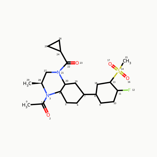 CC(=O)N1C2CCC(C3CCC(F)C(S(C)(=O)=O)C3)CC2N(C(=O)C2CC2)C[C@@H]1C